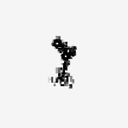 CC(C)(C)OC(=O)NCCOc1ccc2c(c1)S(=O)(=O)CC2S(=O)(=O)c1ccccc1